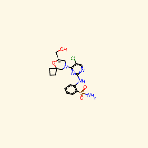 NS(=O)(=O)c1ccccc1Nc1ncc(Cl)c(N2C[C@H](CO)OC3(CCC3)C2)n1